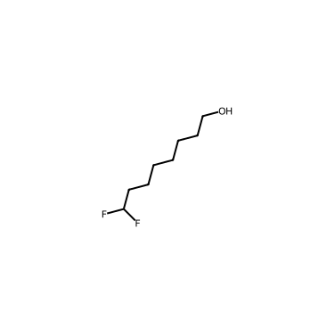 OCCCCCCCC(F)F